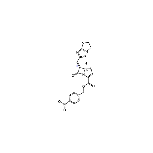 O=C(OCc1ccc([N+](=O)[O-])cc1)C1=CS[C@@H]2/C(=C\c3cn4c(n3)SCC4)C(=O)N12